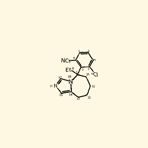 CCC1(c2c(Cl)cccc2C#N)CCCCc2cncn21